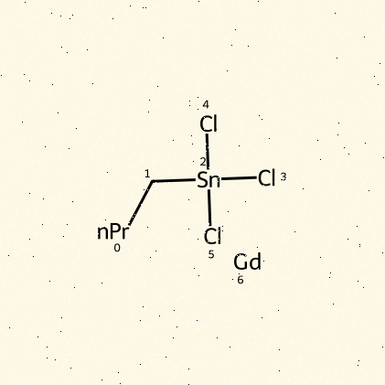 CCC[CH2][Sn]([Cl])([Cl])[Cl].[Gd]